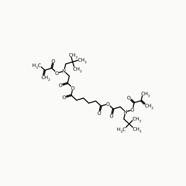 C=C(C)C(=O)ON(CC(=O)OC(=O)CCCCC(=O)OC(=O)CN(CC(C)(C)C)OC(=O)C(=C)C)CC(C)(C)C